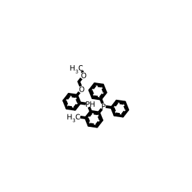 COCOc1ccccc1Pc1c(C)cccc1P(c1ccccc1)c1ccccc1